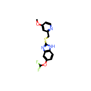 COc1ccnc(CSc2nc3cc(OC(F)F)ccc3[nH]2)c1